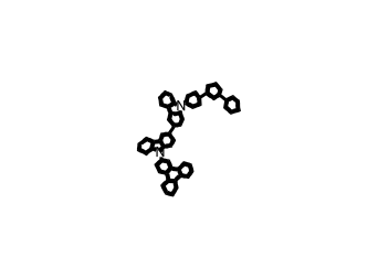 c1ccc(-c2cccc(-c3ccc(-n4c5ccccc5c5cc(-c6ccc7c(c6)c6ccccc6n7-c6ccc7c8ccccc8c8ccccc8c7c6)ccc54)cc3)c2)cc1